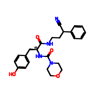 N#CC(CCNC(=O)[C@H](Cc1ccc(O)cc1)NC(=O)N1CCOCC1)c1ccccc1